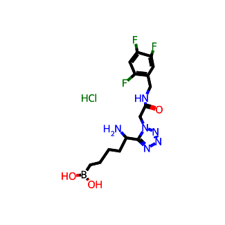 Cl.NC(CCCCB(O)O)c1nnnn1CC(=O)NCc1cc(F)c(F)cc1F